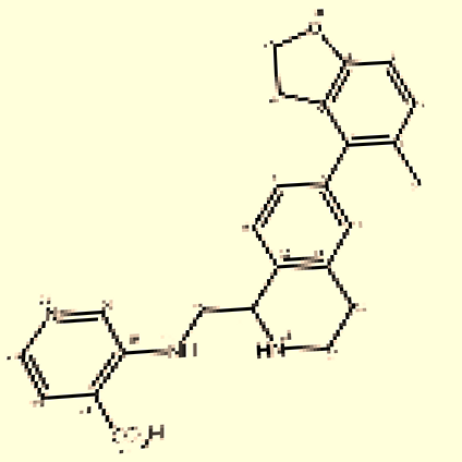 Cc1ccc2c(c1-c1ccc3c(c1)CCNC3CNc1cnccc1C(=O)O)CCO2